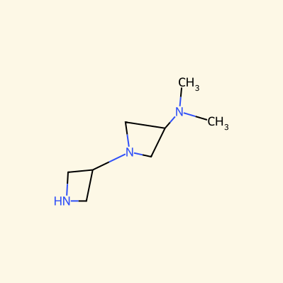 CN(C)C1CN(C2CNC2)C1